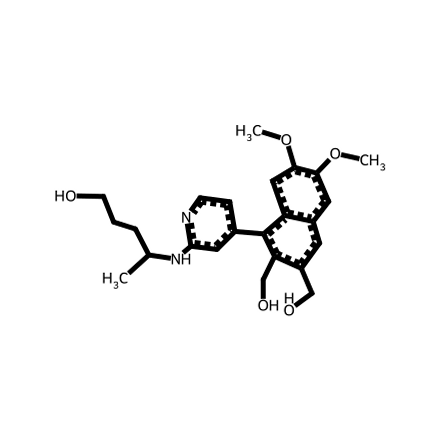 COc1cc2cc(CO)c(CO)c(-c3ccnc(NC(C)CCCO)c3)c2cc1OC